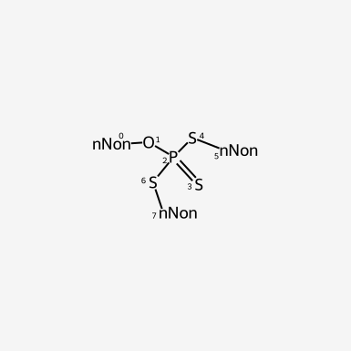 CCCCCCCCCOP(=S)(SCCCCCCCCC)SCCCCCCCCC